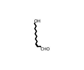 O=CC/C=C\CCCCCCCCO